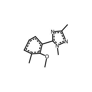 COc1c(C)cccc1-c1nc(C)nn1C